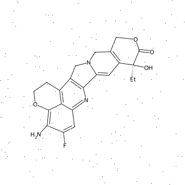 CC[C@@]1(O)C(=O)OCC2=C1C=C1c3nc4cc(F)c(N)c5c4c(c3CN1C2)CCO5